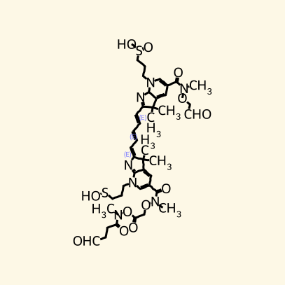 CN(OC(=O)CON(C)C(=O)C1=CN(CCCSO)C2=N/C(=C/C=C/C=C/C3=NC4C(=CC(C(=O)N(C)OCC=O)=CN4CCCS(=O)O)C3(C)C)C(C)(C)C2=C1)C(=O)CCC=O